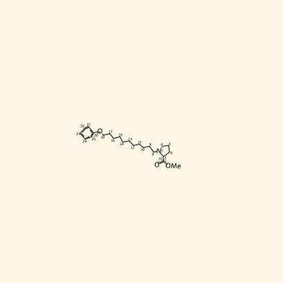 COC(=O)[C@@H]1CCCN1CCCCCCCCCCCOc1ccccc1